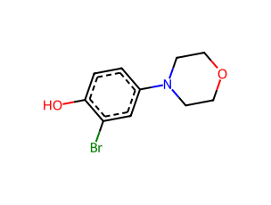 Oc1ccc(N2CCOCC2)cc1Br